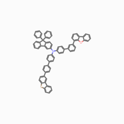 c1ccc(C2(c3ccccc3)c3ccccc3-c3cc(N(c4ccc(-c5ccc(-c6ccc7sc8ccccc8c7c6)cc5)cc4)c4ccc(-c5cccc(-c6cccc7c6oc6ccccc67)c5)cc4)ccc32)cc1